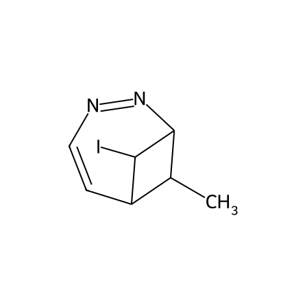 CC1C2C=CN=NC1C2I